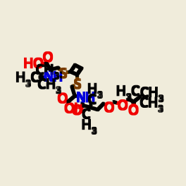 CC(C)(C)NC(CSC1CCC1SCC(NC(=O)C(C)(C)CCOCOCC(=O)C(C)(C)C)C(=O)O)C(=O)O